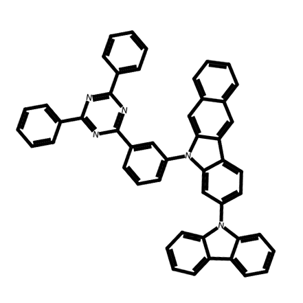 c1ccc(-c2nc(-c3ccccc3)nc(-c3cccc(-n4c5cc(-n6c7ccccc7c7ccccc76)ccc5c5cc6ccccc6cc54)c3)n2)cc1